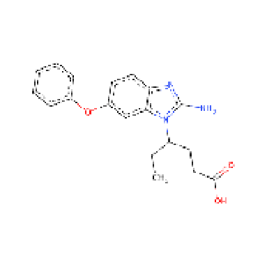 CCC(CCC(=O)O)n1c(N)nc2ccc(Oc3ccccc3)cc21